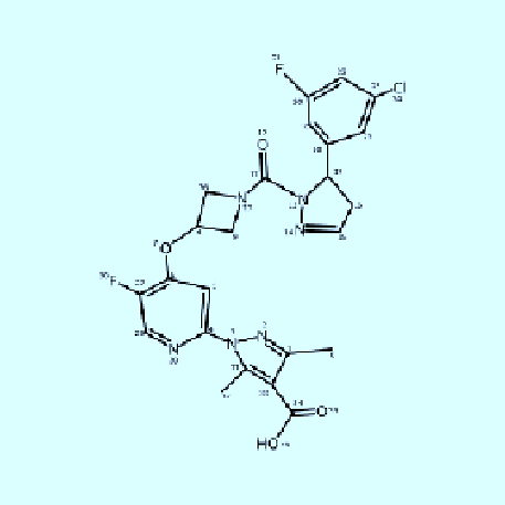 Cc1nn(-c2cc(OC3CN(C(=O)N4N=CCC4c4cc(F)cc(Cl)c4)C3)c(F)cn2)c(C)c1C(=O)O